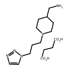 NCC1CCN(CCCn2ccnn2)CC1.O=C(O)CCC(=O)O